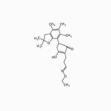 CCON=CCCC1=C(O)CC(c2c(C)c(C)c(C)c3c2OC(C)(C)C3)CC1=O